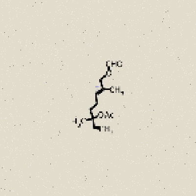 C=CC(C)(CC/C=C(\C)COC=O)OC(C)=O